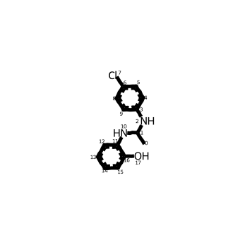 CC(Nc1ccc(Cl)cc1)Nc1ccccc1O